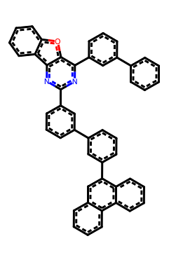 c1ccc(-c2cccc(-c3nc(-c4cccc(-c5cccc(-c6cc7ccccc7c7ccccc67)c5)c4)nc4c3oc3ccccc34)c2)cc1